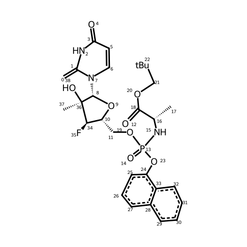 C=C1NC(=O)C=CN1[C@@H]1O[C@H](COP(=O)(N[C@@H](C)C(=O)OCC(C)(C)C)Oc2cccc3ccccc23)[C@@H](F)[C@@]1(C)O